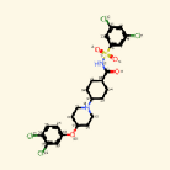 O=C(NS(=O)(=O)c1cc(Cl)cc(Cl)c1)C1CCC(N2CCC(Oc3ccc(Cl)c(Cl)c3)CC2)CC1